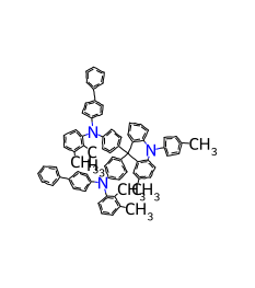 Cc1ccc(N2c3ccccc3C(c3ccc(N(c4ccc(-c5ccccc5)cc4)c4cccc(C)c4C)cc3)(c3ccc(N(c4ccc(-c5ccccc5)cc4)c4cccc(C)c4C)cc3)c3cc(C)ccc32)cc1